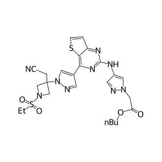 CCCCOC(=O)Cn1cc(Nc2nc(-c3cnn(C4(CC#N)CN(S(=O)(=O)CC)C4)c3)c3sccc3n2)cn1